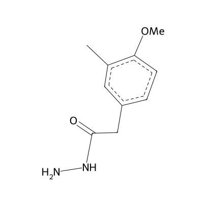 COc1ccc(CC(=O)NN)cc1C